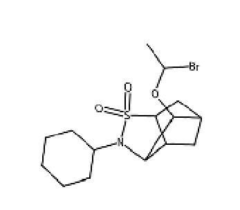 CC(Br)OC1C2CC3C1N(C1CCCCC1)S(=O)(=O)C3C2